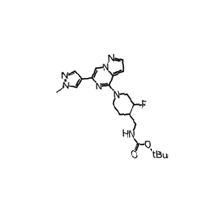 Cn1cc(-c2cn3nccc3c(N3CCC(CNC(=O)OC(C)(C)C)C(F)C3)n2)cn1